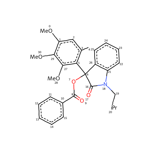 COc1cc(C)c(C2(OC(=O)c3ccccc3)C(=O)N(CC(C)C)c3ccccc32)c(OC)c1OC